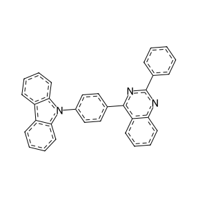 c1ccc(-c2nc(-c3ccc(-n4c5ccccc5c5ccccc54)cc3)c3ccccc3n2)cc1